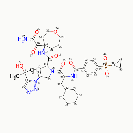 CC(C)(O)c1cnnn1[C@H]1C[C@@H](C(=O)N[C@]2(C(=O)C(N)=O)CCCOCC2)N(C(=O)C(CC2CCCCC2)NC(=O)c2ccc(S(=O)(=O)C3CC3)cc2)C1